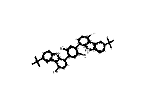 CC(C)(C)c1ccc2[nH]c3c(-c4cc(Br)c(-c5ccc(Cl)c6c5[nH]c5ccc(C(C)(C)C)cc56)cc4Br)ccc(Cl)c3c2c1